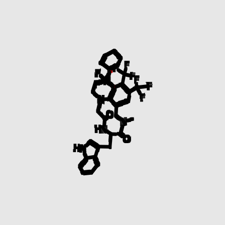 CN(Cc1cc(C(F)(F)F)c(C(F)(F)F)c(C(F)(F)F)c1)C(=O)C(Cc1c[nH]c2ccccc12)NC(=O)CN1CCN(c2ccccc2)CC1